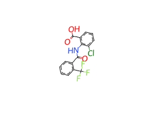 O=C(Nc1c(Cl)cccc1C(=O)O)c1ccccc1C(F)(F)F